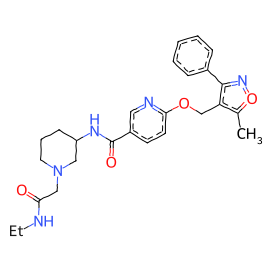 CCNC(=O)CN1CCCC(NC(=O)c2ccc(OCc3c(-c4ccccc4)noc3C)nc2)C1